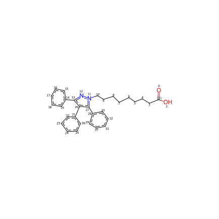 O=C(O)CCCCCCCCn1nc(-c2ccccc2)c(-c2ccccc2)c1-c1ccccc1